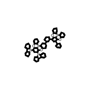 c1ccc(-c2cc(-c3cccc(-c4ccc5c(c4)B4c6ccccc6Oc6c(-n7c8ccccc8c8ccccc87)cc(-n7c8ccccc8c8ccccc87)c(c64)O5)c3)c3c4c2Oc2ccccc2B4c2ccccc2O3)cc1